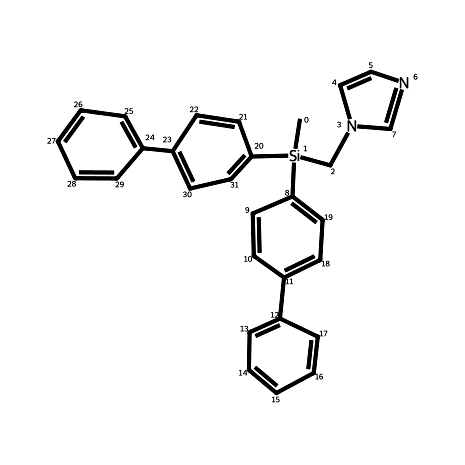 C[Si](Cn1ccnc1)(c1ccc(-c2ccccc2)cc1)c1ccc(-c2ccccc2)cc1